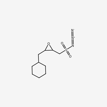 [N-]=[N+]=NS(=O)(=O)CC1OC1CC1CCCCC1